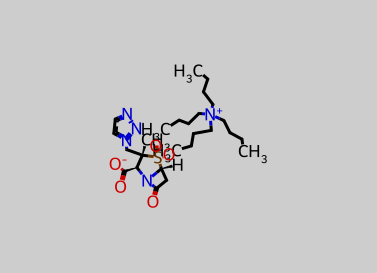 CCCC[N+](CCCC)(CCCC)CCCC.C[C@]1(Cn2ccnn2)[C@H](C(=O)[O-])N2C(=O)C[C@H]2S1(=O)=O